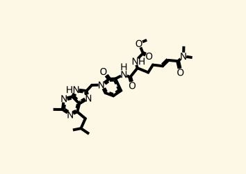 COC(=O)NC(CCC=CC(=O)N(C)C)C(=O)Nc1cccn(Cc2nc3c(CC(C)C)nc(C)nc3[nH]2)c1=O